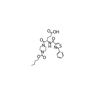 CCCCOC(=O)N1CCN(C(=O)C(CCC(=O)O)NC(=O)c2csc(-c3ccccc3)n2)CC1